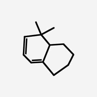 CC1(C)C=CC=C2CCCCC21